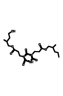 CCCC(C)COC(=O)CCn1c(=O)[nH]c(=O)n(CCC(=O)OCC(C)CCO)c1=O